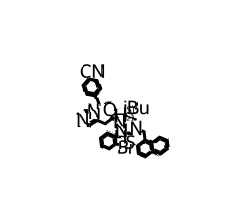 CC[C@H](C)[C@@H](CN(Cc1cccc2ccccc12)C(=S)Nc1ccccc1Br)NC(=O)Cc1cncn1Cc1ccc(C#N)cc1